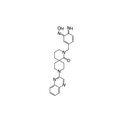 N=C1C=CC(CN2CCCC3(CCN(c4cnc5ccccc5n4)CC3)C2=O)=C/C1=N/O